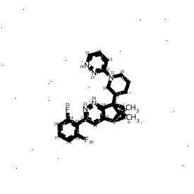 CC1(C)C2CCC1(C1CCCN(c3cccnn3)C1)c1nnc(-c3c(F)cccc3F)cc12